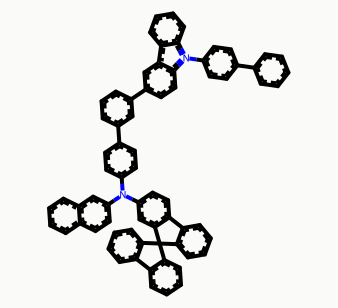 c1ccc(-c2ccc(-n3c4ccccc4c4cc(-c5cccc(-c6ccc(N(c7ccc8c(c7)C7(c9ccccc9-c9ccccc97)c7ccccc7-8)c7ccc8ccccc8c7)cc6)c5)ccc43)cc2)cc1